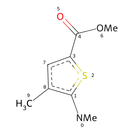 CNc1sc(C(=O)OC)cc1C